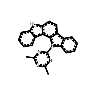 Cc1nc(C)nc(-n2c3ccccc3c3ccc4[nH]c5ccccc5c4c32)n1